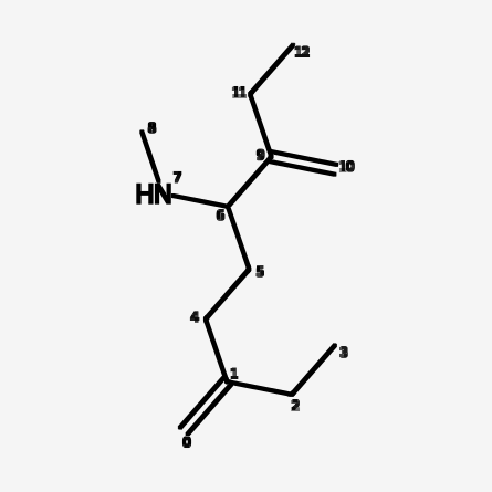 C=C(CC)CCC(NC)C(=C)CC